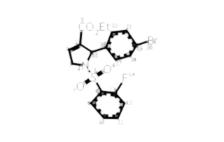 CCOC(=O)C1=CCN(S(=O)(=O)c2ccccc2F)C1c1ccc(Br)cc1